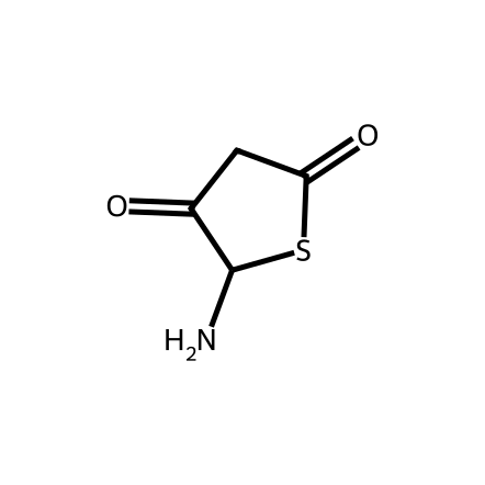 NC1SC(=O)CC1=O